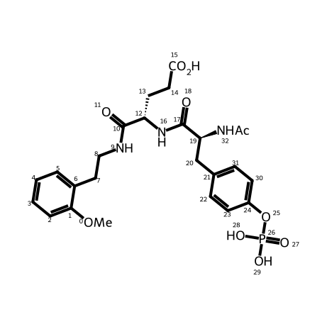 COc1ccccc1CCNC(=O)[C@H](CCC(=O)O)NC(=O)[C@H](Cc1ccc(OP(=O)(O)O)cc1)NC(C)=O